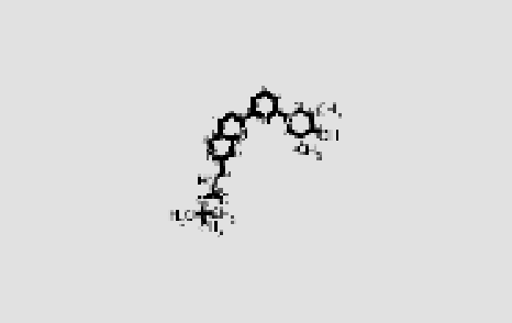 C[C@@H]1CN(c2cccc(-c3ccc4cnc(CNC(=O)OC(C)(C)C)cc4n3)n2)C[C@H](C)C1O